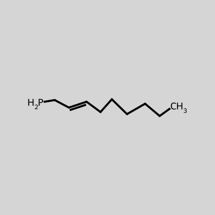 CCCCCCC=CCP